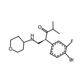 CC(C)C(=O)[C@H](CNC1CCOCC1)c1ccc(Br)c(F)c1